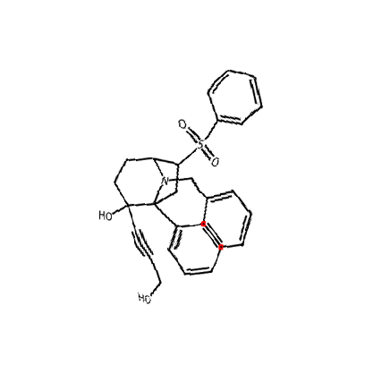 O=S(=O)(c1ccccc1)C1CC2(c3ccccc3)N(Cc3ccccc3)C1CCC2(O)C#CCO